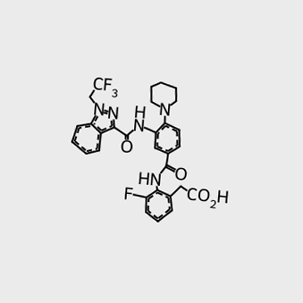 O=C(O)Cc1cccc(F)c1NC(=O)c1ccc(N2CCCCC2)c(NC(=O)c2nn(CC(F)(F)F)c3ccccc23)c1